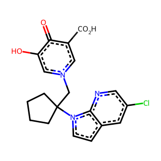 O=C(O)c1cn(CC2(n3ccc4cc(Cl)cnc43)CCCC2)cc(O)c1=O